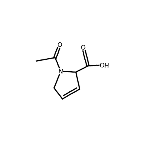 CC(=O)N1CC=CC1C(=O)O